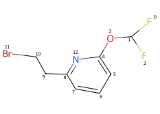 FC(F)Oc1cccc(CCBr)n1